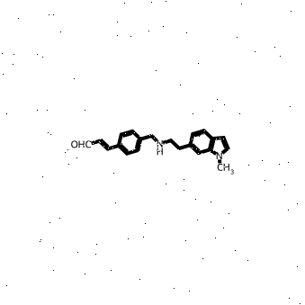 Cn1ccc2ccc(CCNCc3ccc(/C=C/C=O)cc3)cc21